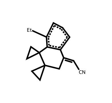 CCc1cccc2c1C1(CC1)C1(CC1)C/C2=C\C#N